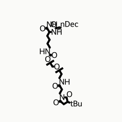 CCCCCCCCCCCC(=O)NC(CCCCNC(=O)OC(C)(C)COC(C)(C)CCNC(=O)CCN1C(=O)CC(C(C)(C)C)C1=O)C(N)=O